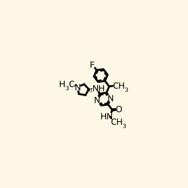 CNC(=O)c1cnc(N[C@@H]2CCN(C)C2)c(C(C)c2ccc(F)cc2)n1